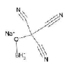 [BH3-]OC(C#N)(C#N)C#N.[Na+]